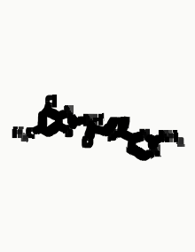 Cc1cc(Cl)c2nc(NC(=O)c3ccc(-c4ccnc(N)n4)s3)sc2c1